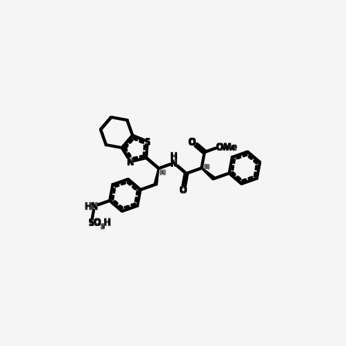 COC(=O)[C@@H](Cc1ccccc1)C(=O)N[C@@H](Cc1ccc(NS(=O)(=O)O)cc1)c1nc2c(s1)CCCC2